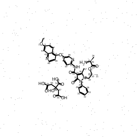 COc1ccc2c(Oc3ccc(NC(=O)c4c(C)n(C[C@@H](C)OC(=O)[C@H](C)N)n(-c5ccccc5)c4=O)nc3)ccnc2c1.O=C(O)CC(O)(CC(=O)O)C(=O)O